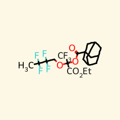 CCOC(=O)C(OCC(F)(F)C(C)(F)F)(OC(=O)C12CC3CC(CC(C3)C1)C2)C(F)(F)F